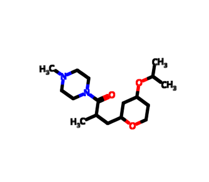 CC(C)OC1CCOC(CC(C)C(=O)N2CCN(C)CC2)C1